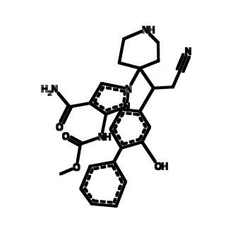 COC(=O)Nc1nn(C2(C(CC#N)c3ccc(-c4ccccc4)c(O)c3)CCNCC2)cc1C(N)=O